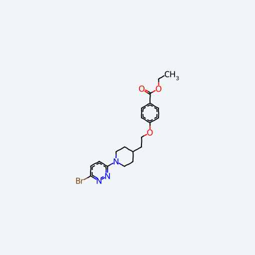 CCOC(=O)c1ccc(OCCC2CCN(c3ccc(Br)nn3)CC2)cc1